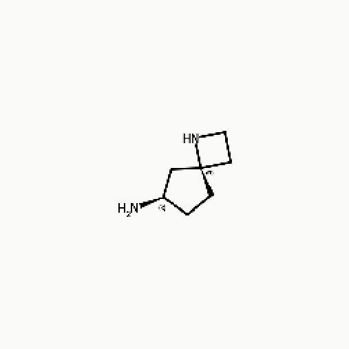 N[C@@H]1CC[C@@]2(CCN2)C1